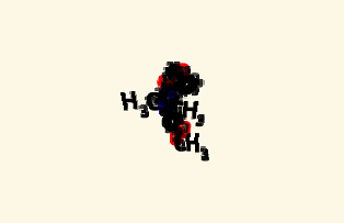 COC(=O)c1ccc(CN2[C@H](C)CN(C(=O)c3ccccc3-c3ccco3)C[C@@H]2C)cc1